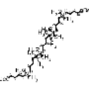 CCCCCCCCCCCCCC[N+](C)(C)CCCCC(C)(C)[N+](C)(C)CCCCC(C)(C)[N+](C)(C)CCCC[N+](C)(C)CCCCCCCCCCCCCC